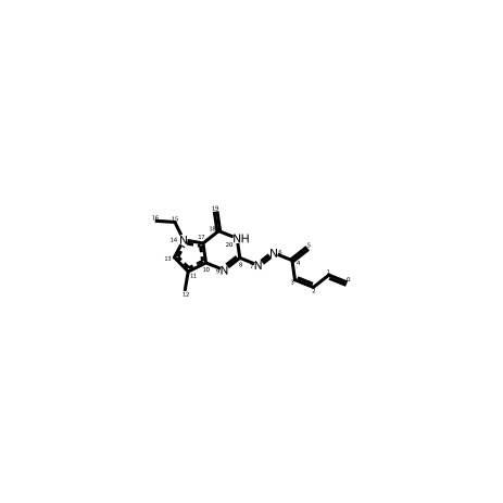 C=C/C=C\C(=C)/N=N/C1=Nc2c(C)cn(CC)c2C(=C)N1